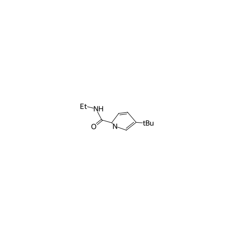 CCNC(=O)c1ccc(C(C)(C)C)cn1